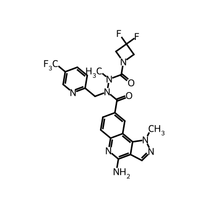 CN(C(=O)N1CC(F)(F)C1)N(Cc1ccc(C(F)(F)F)cn1)C(=O)c1ccc2nc(N)c3cnn(C)c3c2c1